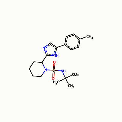 CSC(C)(C)NS(=O)(=O)N1CCCCC1c1ncc(-c2ccc(C)cc2)[nH]1